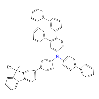 CCC1(C)c2ccccc2-c2ccc(-c3ccc(N(c4ccc(-c5ccccc5)cc4)c4ccc(-c5cccc(-c6ccccc6)c5)c(-c5ccccc5)c4)cc3)cc21